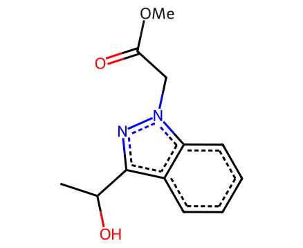 COC(=O)Cn1nc(C(C)O)c2ccccc21